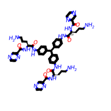 NCCC[C@H](NC(=O)c1cnccn1)C(=O)Nc1ccc(C(c2ccc(NC(=O)[C@H](CCCN)NC(=O)c3cnccn3)cc2)c2ccc(NC(=O)[C@H](CCCN)NC(=O)c3cnccn3)cc2)cc1